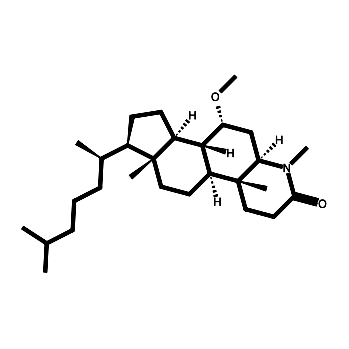 CO[C@@H]1C[C@H]2N(C)C(=O)CC[C@]2(C)[C@H]2CC[C@]3(C)[C@@H]([C@H](C)CCCC(C)C)CC[C@H]3[C@H]12